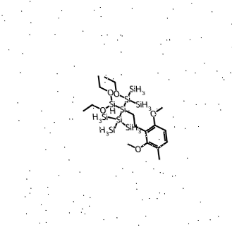 CCO[SiH](OCC)[Si](CCc1c(OC)ccc(C)c1OC)([Si]([SiH3])([SiH3])[SiH3])[Si]([SiH3])([SiH3])OCC